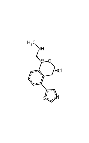 CNC[C@H]1OCCc2c(-c3cncs3)cccc21.Cl